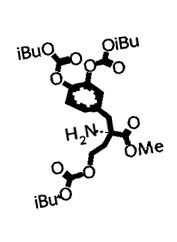 CC[C@H](C)OC(=O)OCC[C@@](N)(Cc1ccc(OC(=O)OCC(C)C)c(OC(=O)OCC(C)C)c1)C(=O)OC